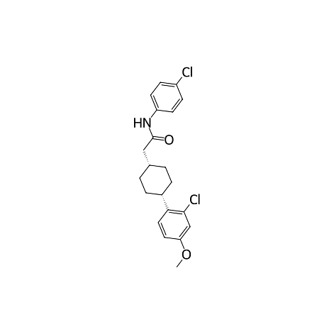 COc1ccc([C@H]2CC[C@@H](CC(=O)Nc3ccc(Cl)cc3)CC2)c(Cl)c1